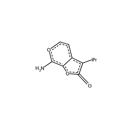 CC(C)c1c2ccoc(N)c-2oc1=O